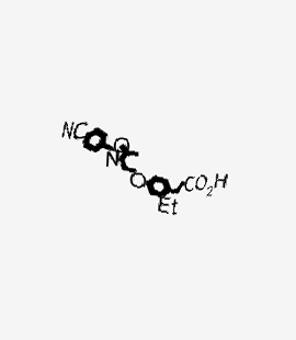 CCc1cc(OCCc2nc(-c3ccc(C#N)cc3)oc2C)ccc1CCC(=O)O